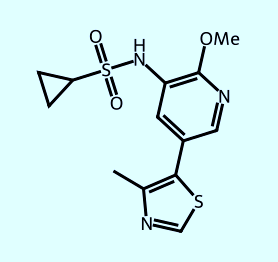 COc1ncc(-c2scnc2C)cc1NS(=O)(=O)C1CC1